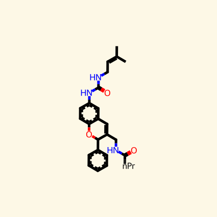 CCCC(=O)NCC1=Cc2cc(NC(=O)NCC=C(C)C)ccc2OC1c1ccccc1